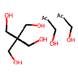 CC(=O)CO.CC(=O)CO.OCC(CO)(CO)CO